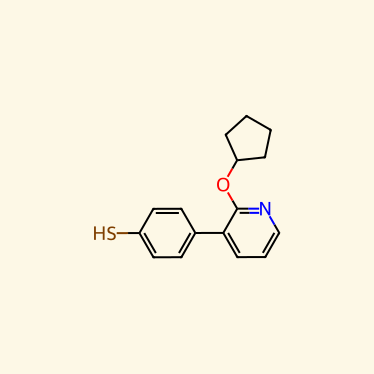 Sc1ccc(-c2cccnc2OC2CCCC2)cc1